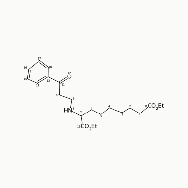 CCOC(=O)CCCCCCC(NCCC(=O)c1ccccc1)C(=O)OCC